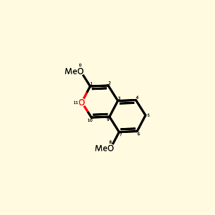 COC1=CC2=CCC=C(OC)C2=CO1